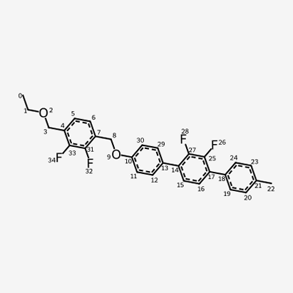 CCOCc1ccc(COc2ccc(-c3ccc(-c4ccc(C)cc4)c(F)c3F)cc2)c(F)c1F